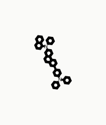 c1ccc(N(c2ccccc2)c2ccc(-c3ccc4c(ccc5cc(N(c6ccccc6)c6cccc7ccccc67)ccc54)c3)cc2)cc1